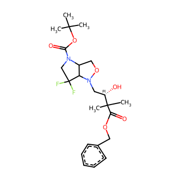 CC(C)(C)OC(=O)N1CC(F)(F)C2C1CON2C[C@H](O)C(C)(C)C(=O)OCc1ccccc1